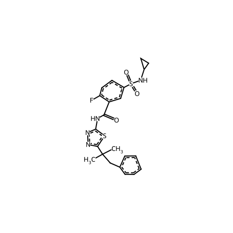 CC(C)(Cc1ccccc1)c1nnc(NC(=O)c2cc(S(=O)(=O)NC3CC3)ccc2F)s1